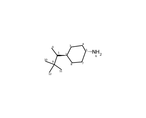 CC([C@H]1CC[C@H](N)CC1)C(C)(C)C